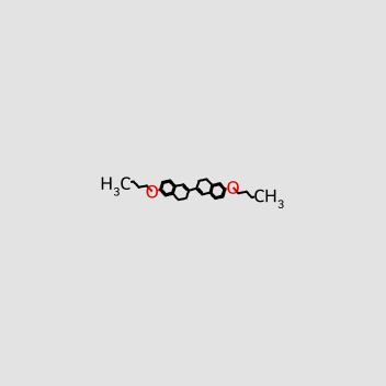 CCCCOc1ccc2c(c1)CCC(C1=Cc3ccc(OCCCC)cc3CC1)=C2